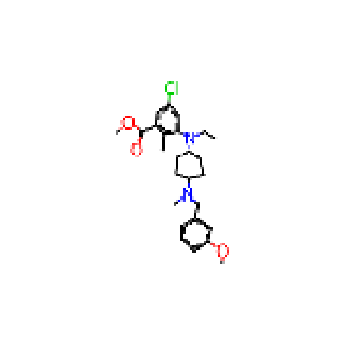 CCN(c1cc(Cl)cc(C(=O)OC)c1C)[C@H]1CC[C@H](N(C)Cc2cccc(OC)c2)CC1